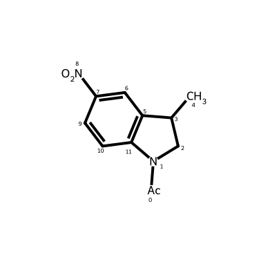 CC(=O)N1CC(C)c2cc([N+](=O)[O-])ccc21